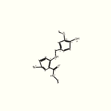 CCNC(=O)c1cc(Br)ccc1NCc1ccc(O)c(OC)c1